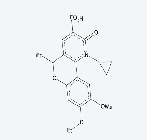 CCOc1cc2c(cc1OC)-c1c(cc(C(=O)O)c(=O)n1C1CC1)C(C(C)C)O2